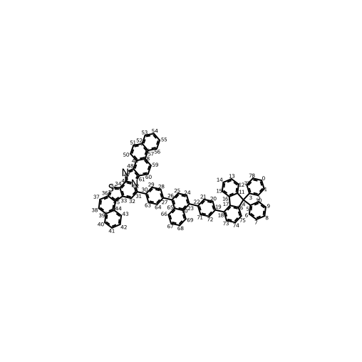 c1ccc(C2(c3ccccc3)c3ccccc3-c3c(-c4ccc(-c5ccc(-c6ccc(-c7cc8c(sc9ccc%10ccccc%10c98)c8nc9c%10ccc%11ccccc%11c%10ccc9n78)cc6)c6ccccc56)cc4)cccc32)cc1